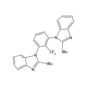 CC(C)(C)c1nc2ccccc2n1-c1cccc(-n2c(C(C)(C)C)nc3ccccc32)c1C(F)(F)F